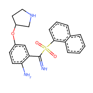 N=C(c1cc(OC2CCNC2)ccc1N)S(=O)(=O)c1cccc2ccccc12